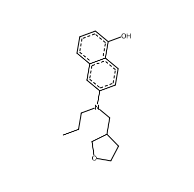 CCCN(CC1CCOC1)c1ccc2c(O)cccc2c1